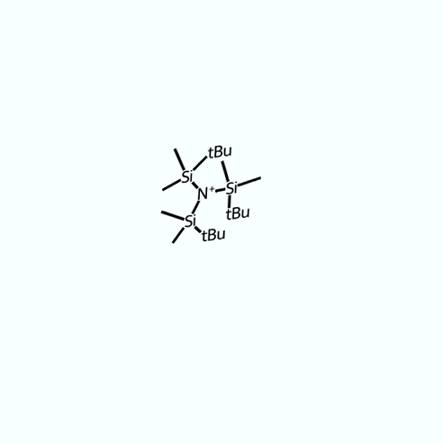 CC(C)(C)[Si](C)(C)[N+]([Si](C)(C)C(C)(C)C)[Si](C)(C)C(C)(C)C